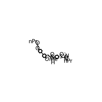 CCCOCCOc1ccc(-c2ccc(OC)c(/C=C/C(=O)Nc3ccc([S@@+]([O-])Cc4cncn4CCC)cc3)c2)cc1